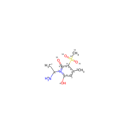 Cc1cc(O)n(C(C)N)c(=O)c1S(C)(=O)=O